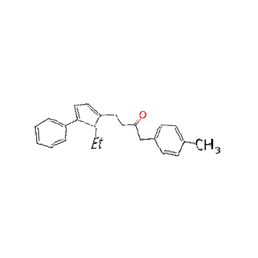 CCC1C(CCC(=O)Cc2ccc(C)cc2)=CC=C1c1ccccc1